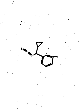 [N-]=[N+]=NC(c1cccc(F)c1)C1CC1